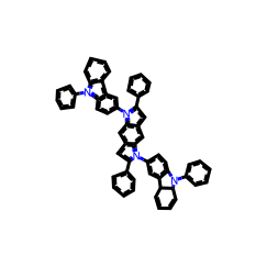 C1=CC2c3cc(-n4c(-c5ccccc5)cc5cc6c(cc(-c7ccccc7)n6-c6ccc7c(c6)c6ccccc6n7-c6ccccc6)cc54)ccc3N(c3ccccc3)C2C=C1